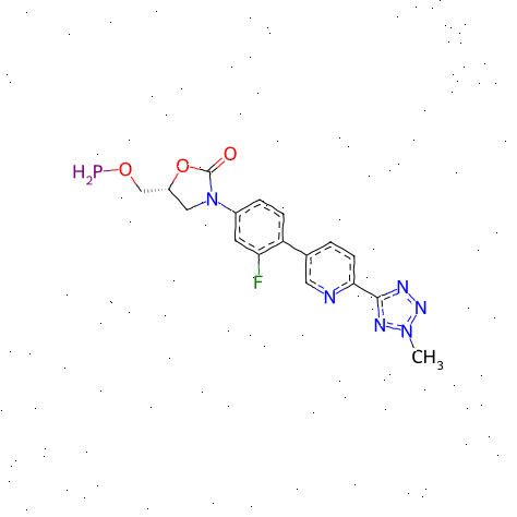 Cn1nnc(-c2ccc(-c3ccc(N4C[C@H](COP)OC4=O)cc3F)cn2)n1